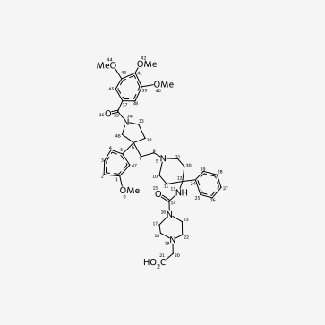 COc1cccc(C2(CCN3CCC(NC(=O)N4CCN(CC(=O)O)CC4)(c4ccccc4)CC3)CCN(C(=O)c3cc(OC)c(OC)c(OC)c3)C2)c1